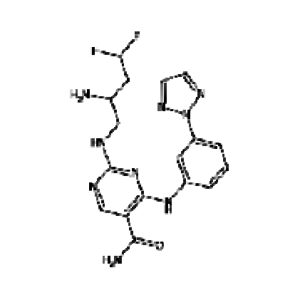 NC(=O)c1cnc(NCC(N)CC(F)F)nc1Nc1cccc(-n2nccn2)c1